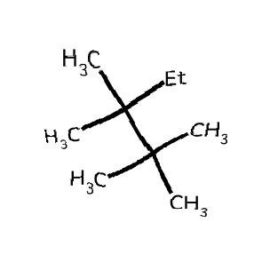 CCC(C)(C)C(C)(C)C